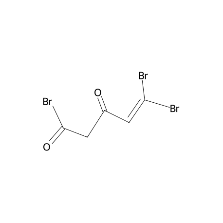 O=C(Br)CC(=O)C=C(Br)Br